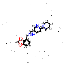 c1cc(CNCc2ccc(N3CCCCC3)nc2)c2c(c1)OCO2